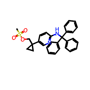 CS(=O)(=O)OCC1(c2ccc(NC(c3ccccc3)(c3ccccc3)c3ccccc3)nc2)CC1